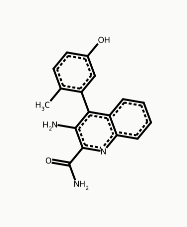 Cc1ccc(O)cc1-c1c(N)c(C(N)=O)nc2ccccc12